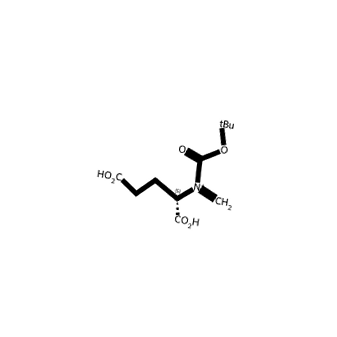 C=[N+](C(=O)OC(C)(C)C)[C@@H](CCC(=O)O)C(=O)O